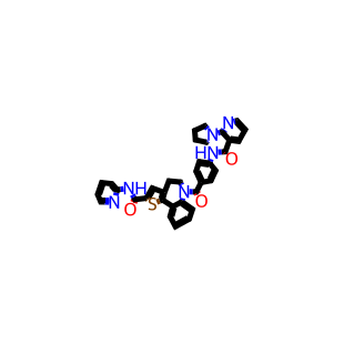 O=C(Nc1ccccn1)c1cc2c(s1)-c1ccccc1N(C(=O)c1ccc(NC(=O)c3cccnc3N3CCCC3)cc1)CC2